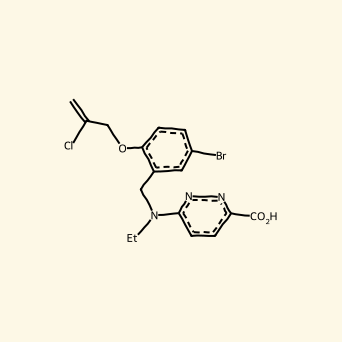 C=C(Cl)COc1ccc(Br)cc1CN(CC)c1ccc(C(=O)O)nn1